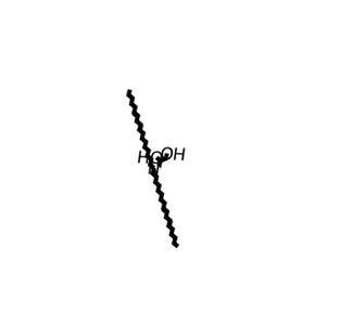 CCCCCC=CCC=CCCCCCCCCN(CCCCCCCCC=CCC=CCCCCC)CC(O)CO